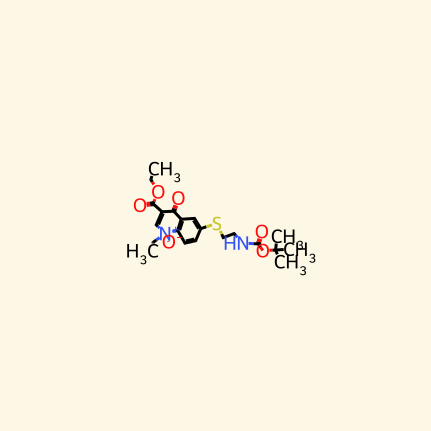 CCOC(=O)C1=C[N+]([O-])(CC)c2ccc(SCCNC(=O)OC(C)(C)C)cc2C1=O